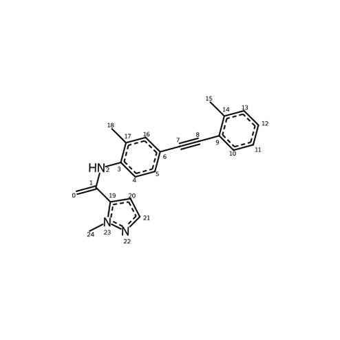 C=C(Nc1ccc(C#Cc2ccccc2C)cc1C)c1ccnn1C